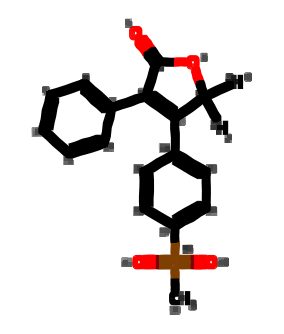 [2H]C1([2H])OC(=O)C(c2ccccc2)=C1c1ccc(S(C)(=O)=O)cc1